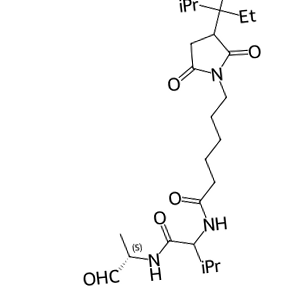 CCC(C)(C(C)C)C1CC(=O)N(CCCCCC(=O)NC(C(=O)N[C@@H](C)C=O)C(C)C)C1=O